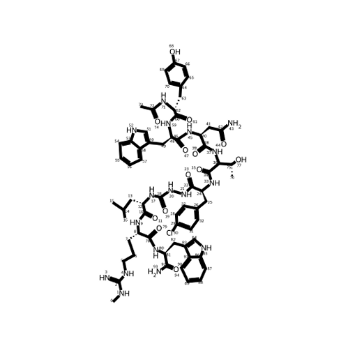 CNC(=N)NCCC[C@H](NC(=O)[C@H](CC(C)C)NC(=O)NNC(=O)[C@H](Cc1ccc(Cl)cc1)NC(=O)C(NC(=O)[C@H](CC(N)=O)NC(=O)[C@@H](Cc1c[nH]c2ccccc12)NC(=O)[C@@H](Cc1ccc(O)cc1)NC(C)=O)[C@@H](C)O)C(=O)N[C@@H](Cc1c[nH]c2ccccc12)C(N)=O